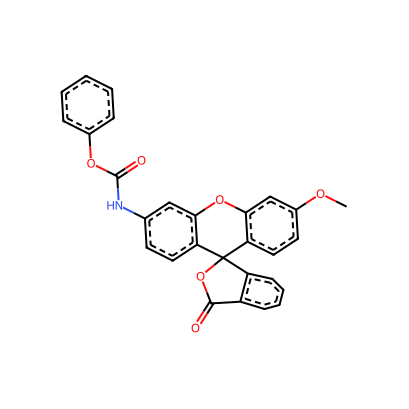 COc1ccc2c(c1)Oc1cc(NC(=O)Oc3ccccc3)ccc1C21OC(=O)c2ccccc21